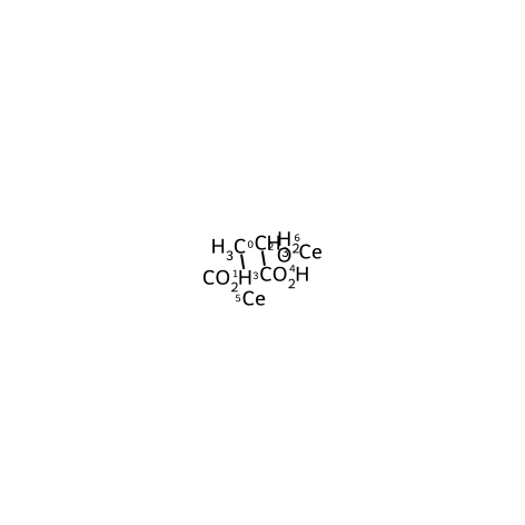 CC(=O)O.CC(=O)O.O.[Ce].[Ce]